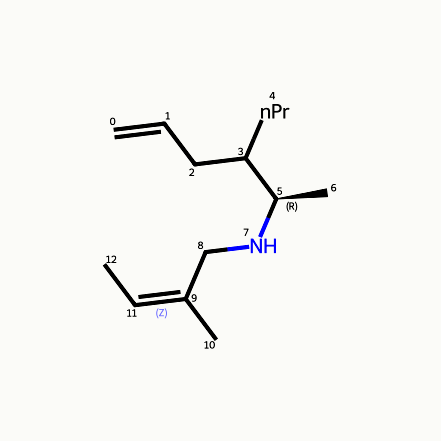 C=CCC(CCC)[C@@H](C)NC/C(C)=C\C